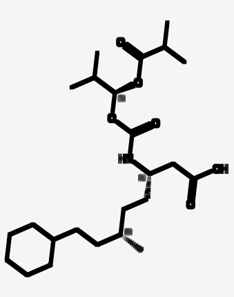 CC(C)C(=O)O[C@@H](OC(=O)N[C@@H](CC[C@H](C)CCC1CCCCC1)CC(=O)O)C(C)C